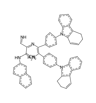 C=C(Nc1ccc2ccccc2c1)/C(C=N)=N\C(=C(/N)c1ccc(-n2c3c(c4ccccc42)C=CCC3)cc1)c1ccc(-n2c3c(c4ccccc42)CCC=C3)cc1